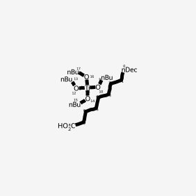 CCCCCCCCCCCCCCCCCC(=O)O.CCCC[O][Ti]([O]CCCC)([O]CCCC)[O]CCCC